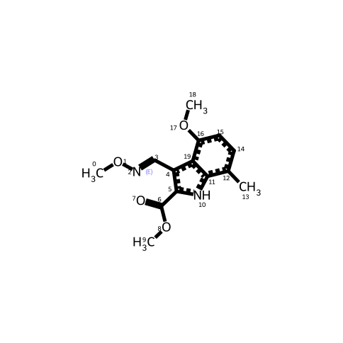 CO/N=C/c1c(C(=O)OC)[nH]c2c(C)ccc(OC)c12